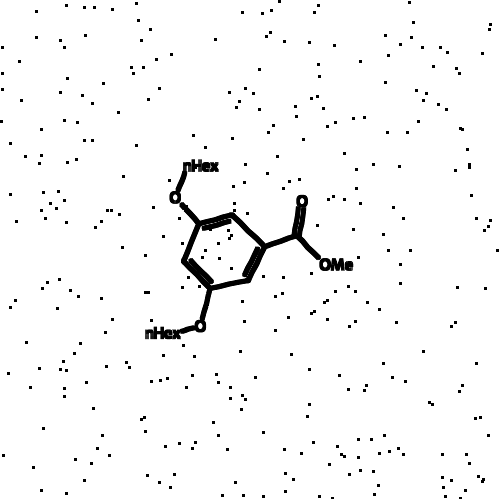 CCCCCCOc1cc(OCCCCCC)cc(C(=O)OC)c1